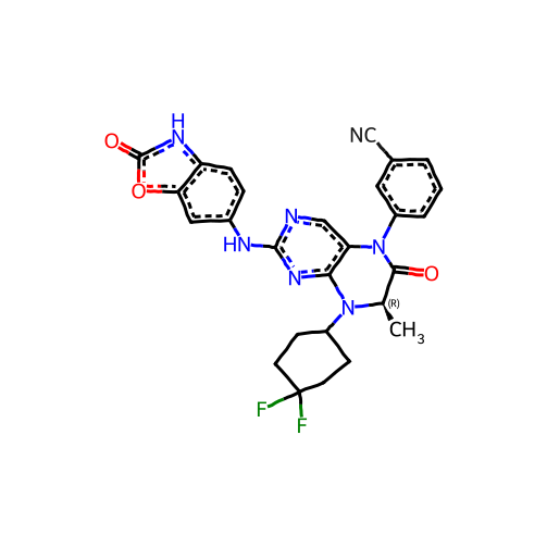 C[C@@H]1C(=O)N(c2cccc(C#N)c2)c2cnc(Nc3ccc4[nH]c(=O)oc4c3)nc2N1C1CCC(F)(F)CC1